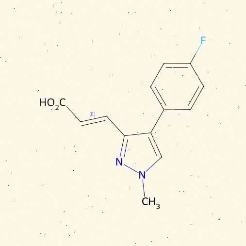 Cn1cc(-c2ccc(F)cc2)c(/C=C/C(=O)O)n1